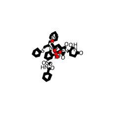 O=C1CCC(N2C(=O)c3cc(CN4CC5CC(C4)N5CC[C@H](CSc4ccccc4)Nc4ccc(S(=O)(=O)NC(=O)c5ccccc5)cc4S(=O)(=O)C(F)(F)F)cc(F)c3C2=O)C(=O)N1